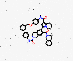 C[C@@H]1Cc2ccccc2CN1C(=O)c1cc2c(cc1-c1cc(C(=O)N(C)c3ccc(OCc4ccccc4)cc3)c3n1CCCC3)CCN(C(=O)N(C)c1ccccc1)C2